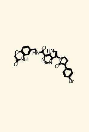 O=C1COc2ccc(CNC(=O)c3ncnc4c(N5CCC(c6ccc(Br)cc6)C5=O)c[nH]c34)cc2N1